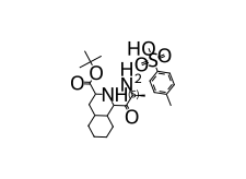 C[C@H](N)C(=O)C1NC(C(=O)OC(C)(C)C)CC2CCCCC21.Cc1ccc(S(=O)(=O)O)cc1